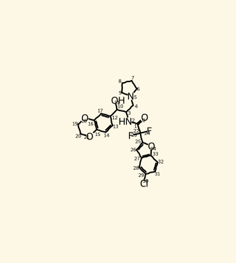 O=C(NC(CN1CCCC1)C(O)c1ccc2c(c1)OCCO2)C(F)(F)c1cc2cc(Cl)ccc2o1